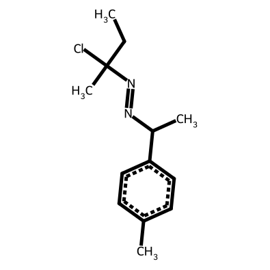 CCC(C)(Cl)N=NC(C)c1ccc(C)cc1